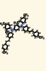 CC1=CCC(CCC2=CC[C@@H](N(c3ccc(N(c4ccc(/C=C/c5ccc(C)cc5)cc4)c4ccc(C)cc4C)cc3)c3ccc(C)cc3C)C=C2)C=C1